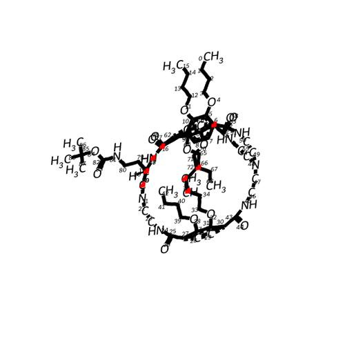 CCCCOc1c2ccc(c1OCCCC)C(=O)NCCN1CCNC(=O)c3ccc(c(OCCCC)c3OCCCC)C(=O)NCCN(CCNC2=O)CCNC(=O)c2ccc(c(OCCCC)c2OCCCC)C(=O)N[C@@H](CCNC(=O)OC(C)(C)C)C1